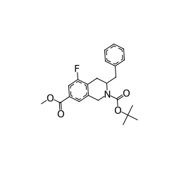 COC(=O)c1cc(F)c2c(c1)CN(C(=O)OC(C)(C)C)C(Cc1ccccc1)C2